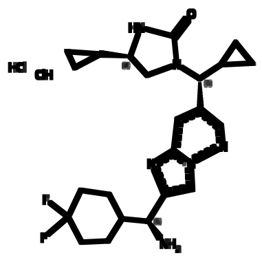 Cl.Cl.N[C@H](c1cn2ncc([C@@H](C3CC3)N3C[C@@H](C4CC4)NC3=O)cc2n1)C1CCC(F)(F)CC1